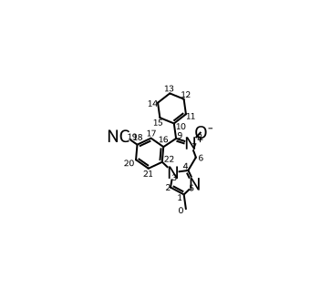 Cc1cn2c(n1)C[N+]([O-])=C(C1=CCCCC1)c1cc(C#N)ccc1-2